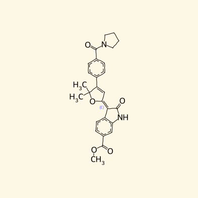 COC(=O)c1ccc2c(c1)NC(=O)/C2=C1\C=C(c2ccc(C(=O)N3CCCC3)cc2)C(C)(C)O1